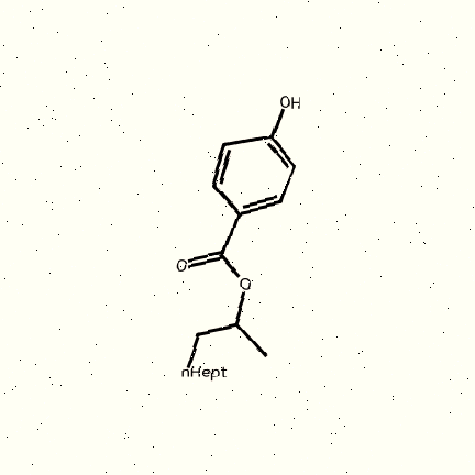 CCCCCCCCC(C)OC(=O)c1ccc(O)cc1